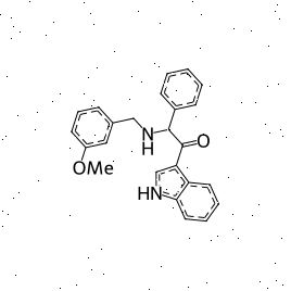 COc1cccc(CNC(C(=O)c2c[nH]c3ccccc23)c2ccccc2)c1